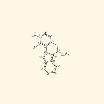 CC1Cc2cnc(Cl)c(F)c2-c2cc3ccccc3n21